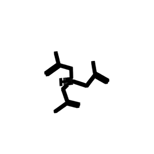 C=C(C)C[SiH](CC(=C)C)CC(=C)C